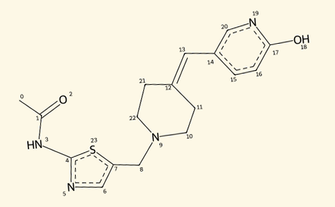 CC(=O)Nc1ncc(CN2CCC(=Cc3ccc(O)nc3)CC2)s1